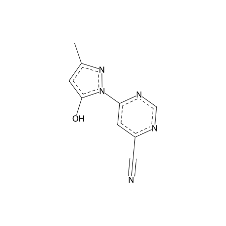 Cc1cc(O)n(-c2cc(C#N)ncn2)n1